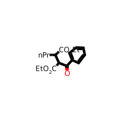 CCCC(C(=O)OCC)C(C(=O)OCC)C(=O)c1ccccc1